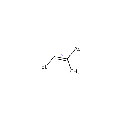 CC/C=C(\C)C(C)=O